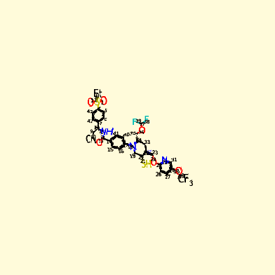 CCS(=O)(=O)c1ccc([C@H](CC#N)NC(=O)c2ccc(N3CC(S)/C(=C\Oc4ccc(OC(F)(F)F)cn4)C[C@H]3COC(F)F)cc2)cc1